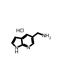 Cl.NCc1cnc2[nH]ccc2c1